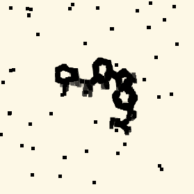 FC(F)Oc1ccn2c(-c3cccc(N[C@H]4CCCC[C@@H]4F)n3)cnc2c1